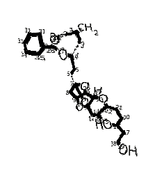 C=C(Br)C[C@H](CC[C@@]12CC3OC4C(O1)[C@H]1OC(CCO)CCC1O[C@H]4C3O2)OC(=O)c1ccccc1